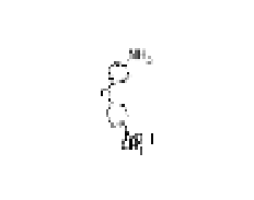 CB(O)N1CCC(Oc2ccc(N)cc2)CC1